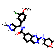 COc1ccc([C@H](NC(=O)c2ccc3cnc(NC4CCOCC4)nc3c2)c2cnn(C)c2)cc1F